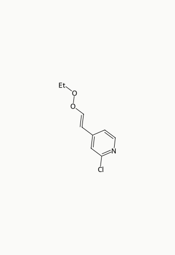 CCOOC=Cc1ccnc(Cl)c1